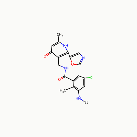 CCNc1cc(Cl)cc(C(=O)NCc2c(-c3cnco3)[nH]c(C)cc2=O)c1C